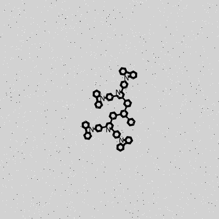 c1ccc(-c2cc(-c3cccc(-c4cc(-c5ccc(-n6c7ccccc7c7ccccc76)cc5)nc(-c5ccc(-n6c7ccccc7c7ccccc76)cc5)c4)c3)cc(-c3cccc(-c4cc(-c5ccc(-n6c7ccccc7c7ccccc76)cc5)nc(-c5ccc(-n6c7ccccc7c7ccccc76)cc5)c4)c3)c2)cc1